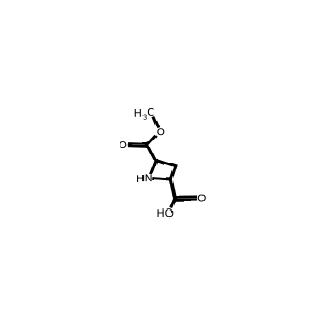 COC(=O)C1CC(C(=O)O)N1